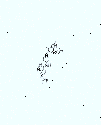 CCC(O)Cn1c(C)cc2c(C)c(CN3CCC(Nc4ncnc5sc(CC(F)(F)F)cc45)CC3)ccc21